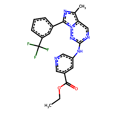 CCOC(=O)c1cncc(Nc2ncc3c(C)nc(-c4cccc(C(F)(F)F)c4)n3n2)c1